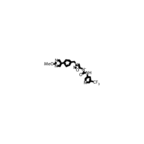 COc1ncc(-c2ccc(C[n+]3cc([N-]C(=O)Nc4cncc(C(F)(F)F)c4)on3)cc2)cn1